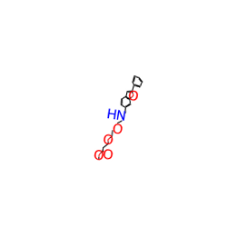 COC(=O)CCOCCOCCNCc1ccc2cc(-c3ccccc3)oc2c1